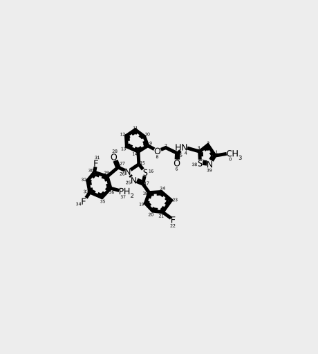 Cc1cc(NC(=O)COc2ccccc2C2SC(c3ccc(F)cc3)=NN2C(=O)c2c(F)cc(F)cc2P)sn1